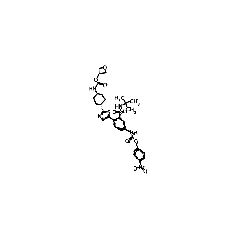 CC(C)(C)NS(=O)(=O)c1cc(NC(=O)Oc2ccc([N+](=O)[O-])cc2)ccc1-c1cnc([C@H]2CC[C@H](NC(=O)OC3COC3)CC2)s1